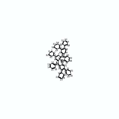 c1ccc(-c2cc3c4c(c2)N(c2ccccc2)c2cc(-c5ccccc5)c(-c5ccccc5)cc2B4c2ccccc2N3c2ccc(-c3ccccc3)c(-c3ccccc3)c2)cc1